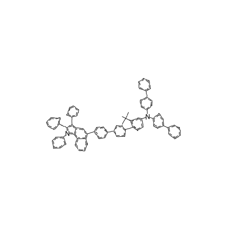 CC1(C)c2cc(-c3ccc(-c4cc5c(-c6ccccc6)c(-c6ccccc6)n(-c6ccccc6)c5c5ccccc45)cc3)ccc2-c2ccc(N(c3ccc(-c4ccccc4)cc3)c3ccc(-c4ccccc4)cc3)cc21